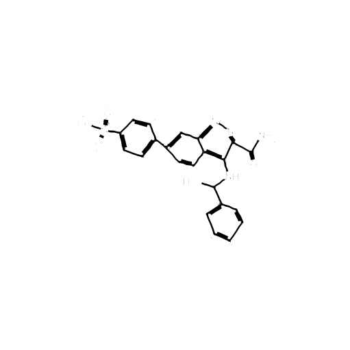 CC(Nc1c(C(N)=O)nnc2cc(-c3ccc(S(C)(=O)=O)cc3)ccc12)c1ccccc1